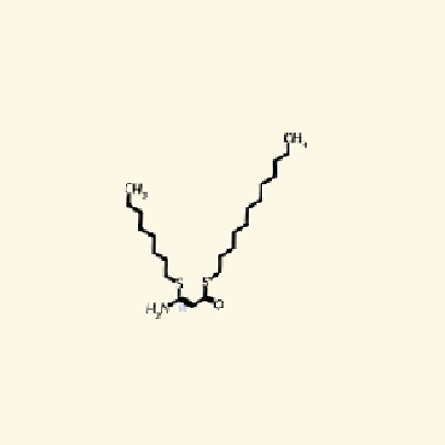 CCCCCCCCCCCCSC(=O)/C=C(/N)SCCCCCCCC